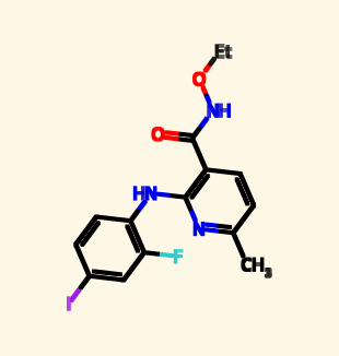 CCONC(=O)c1ccc(C)nc1Nc1ccc(I)cc1F